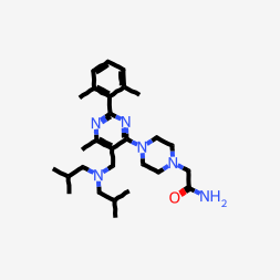 Cc1cccc(C)c1-c1nc(C)c(CN(CC(C)C)CC(C)C)c(N2CCN(CC(N)=O)CC2)n1